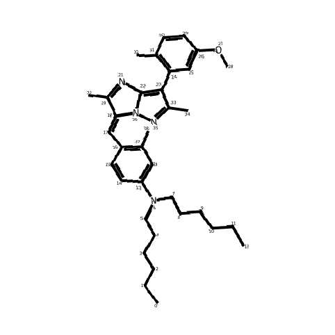 CCCCCCN(CCCCCC)c1ccc(/C=c2/c(C)nc3c(-c4cc(OC)ccc4C)c(C)nn23)c(C)c1